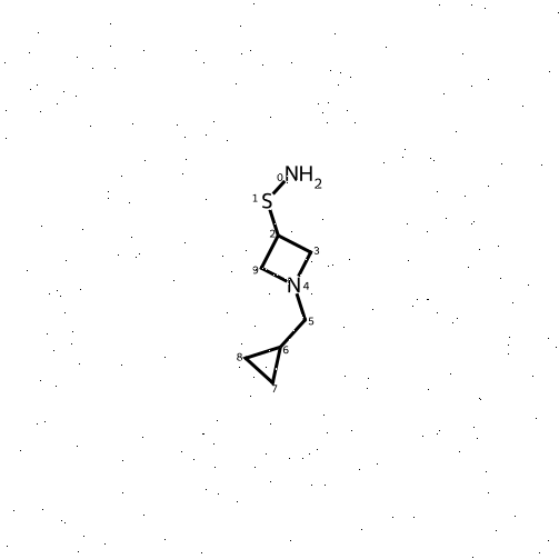 NSC1CN(CC2CC2)C1